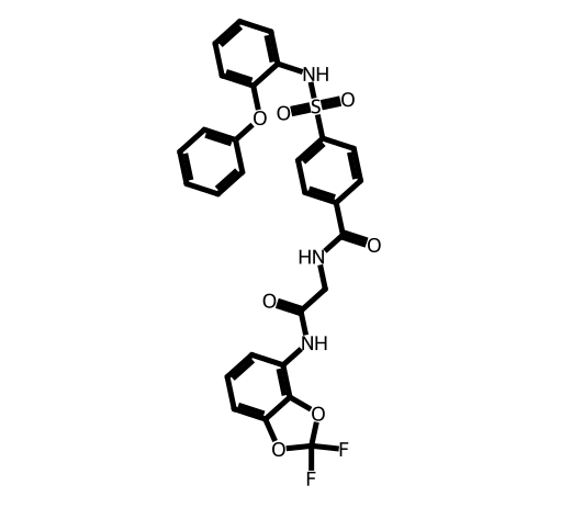 O=C(CNC(=O)c1ccc(S(=O)(=O)Nc2ccccc2Oc2ccccc2)cc1)Nc1cccc2c1OC(F)(F)O2